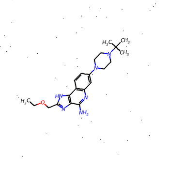 CCOCc1nc2c(N)nc3cc(N4CCN(C(C)(C)C)CC4)ccc3c2[nH]1